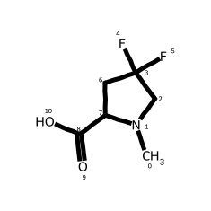 CN1CC(F)(F)CC1C(=O)O